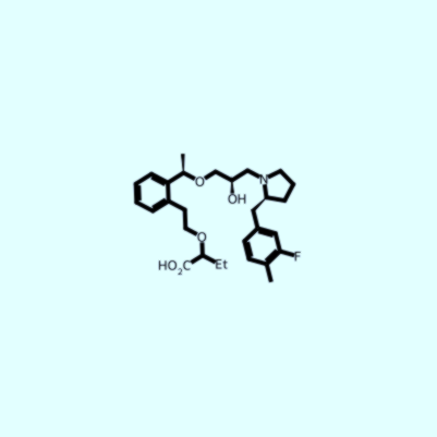 CCC(OCCc1ccccc1[C@@H](C)OC[C@H](O)CN1CCC[C@H]1Cc1ccc(C)c(F)c1)C(=O)O